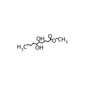 CCCCC(O)C(O)CCCC(=O)OCC